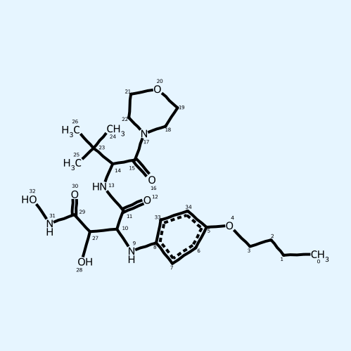 CCCCOc1ccc(NC(C(=O)NC(C(=O)N2CCOCC2)C(C)(C)C)C(O)C(=O)NO)cc1